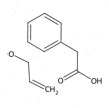 C=CC[O].O=C(O)Cc1ccccc1